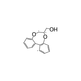 OC[C]1[CH]Oc2ccccc2-c2[c]cccc2O1